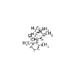 CC1=CCCC(C)(C)C1/C=C/C(C)[N+](C)(C)C.[Cl-]